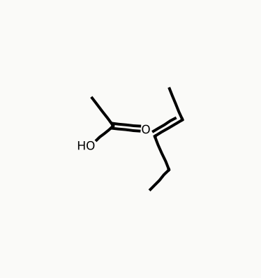 CC(=O)O.CC=CCC